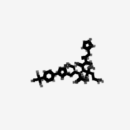 CCCC(C)(C)[C@@H](C(=O)C(=O)NCc1ccno1)N(C(=O)O)[C@@H](CC)Cn1ccc(-c2ccc(C(F)(F)F)cc2)n1